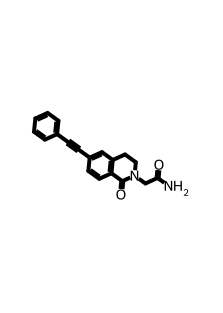 NC(=O)CN1CCc2cc(C#Cc3ccccc3)ccc2C1=O